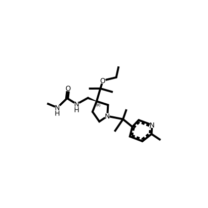 CCOC(C)(C)[C@@]1(CNC(=O)NC)CCN(C(C)(C)c2ccc(C)nc2)C1